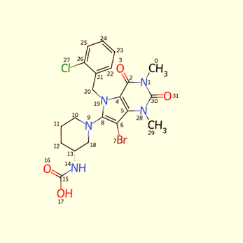 Cn1c(=O)c2c(c(Br)c(N3CCC[C@@H](NC(=O)O)C3)n2Cc2ccccc2Cl)n(C)c1=O